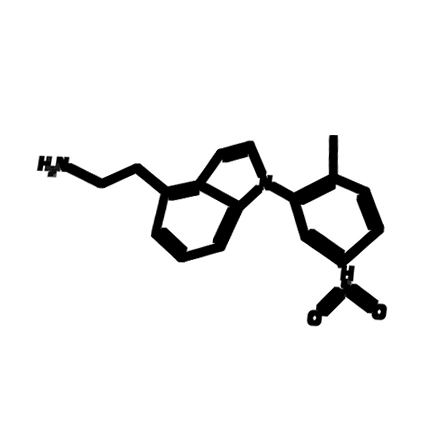 Cc1ccc([SH](=O)=O)cc1-n1ccc2c(CCN)cccc21